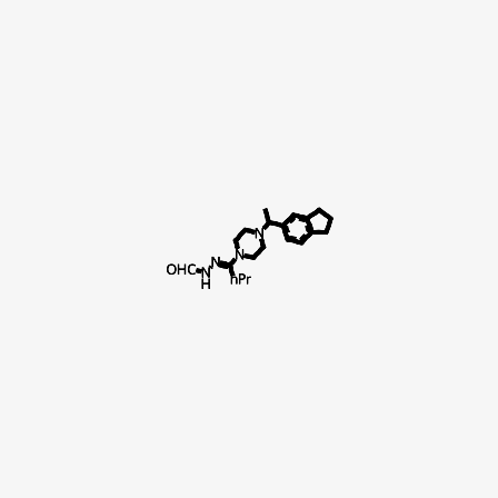 CCC/C(=N\NC=O)N1CCN(C(C)c2ccc3c(c2)CCC3)CC1